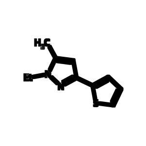 CCn1nc(-c2cccs2)cc1C